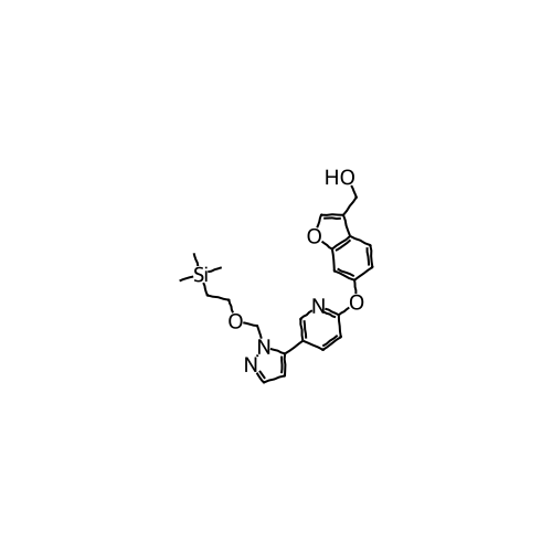 C[Si](C)(C)CCOCn1nccc1-c1ccc(Oc2ccc3c(CO)coc3c2)nc1